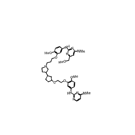 CNc1ccnc(Nc2ccc(OC)c(OCCOC3CCC(C4CCN(CCCOc5cc(Nc6nc(COC)cc(NC)n6)ccc5OC)C4)C3)c2)n1